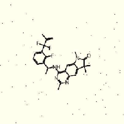 C=C(C)C(F)(F)c1cccc(C(C)Nc2nc(C)nc3cc4c(cc23)N(C)C(=O)C4(C)C)c1F